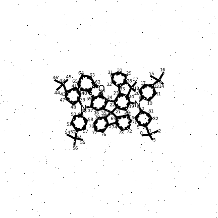 CC(C)(C)c1ccc(N(c2ccc(C(C)(C)C)cc2)c2cc3c(c4c2C(C)(C)c2ccccc2-4)-c2c(cc(N(c4ccc(C(C)(C)C)cc4)c4ccc(C(C)(C)C)cc4)c4c2oc2ccccc24)C32c3ccccc3-c3ccccc32)cc1